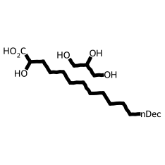 CCCCCCCCCCCCCCCCCCCCC(O)C(=O)O.OCC(O)CO